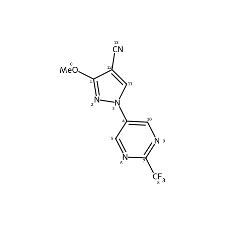 COc1nn(-c2cnc(C(F)(F)F)nc2)cc1C#N